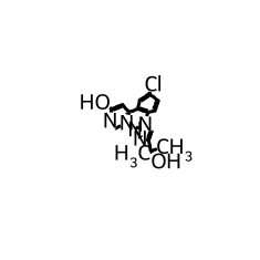 CC(C)(O)c1cn(-c2ccc(Cl)cc2-c2cc(O)ncn2)nn1